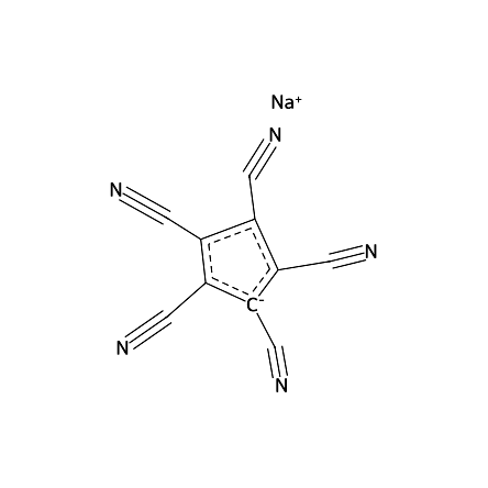 N#Cc1c(C#N)c(C#N)[c-](C#N)c1C#N.[Na+]